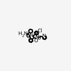 NC(=O)C1CCCCC1N1C(=O)c2ccccc2C(C(=O)NOCc2ccccn2)C1c1ccc(Cl)cc1